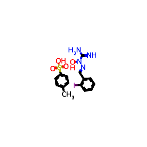 Cc1ccc(S(=O)(=O)O)cc1.N=C(N)N(O)/N=C/c1ccccc1I